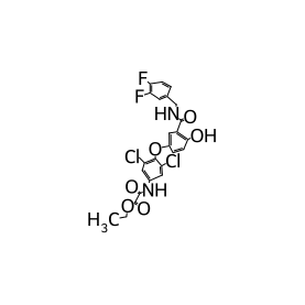 CCOC(=O)C(=O)Nc1cc(Cl)c(Oc2ccc(O)c(C(=O)NCc3ccc(F)c(F)c3)c2)c(Cl)c1